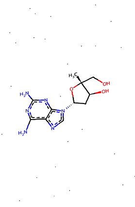 C[C@]1(CO)O[C@@H](n2cnc3c(N)nc(N)nc32)C[C@@H]1O